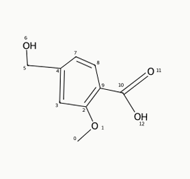 COc1cc(CO)ccc1C(=O)O